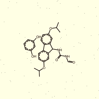 CC(C)Oc1ccc2c(c1)C(NC(=O)NC=O)c1cc(OC(C)C)ccc1-2.Oc1cccc(O)c1